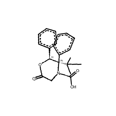 CC(C)(C)[C@@]1(c2ccccc2)[C@H](c2ccccc2)OC(=O)CN1C(=O)O